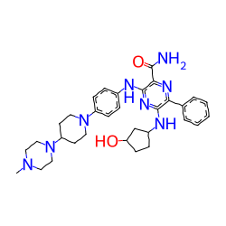 CN1CCN(C2CCN(c3ccc(Nc4nc(NC5CCC(O)C5)c(-c5ccccc5)nc4C(N)=O)cc3)CC2)CC1